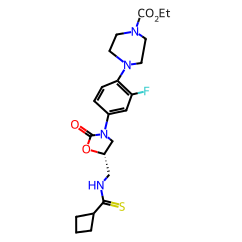 CCOC(=O)N1CCN(c2ccc(N3C[C@H](CNC(=S)C4CCC4)OC3=O)cc2F)CC1